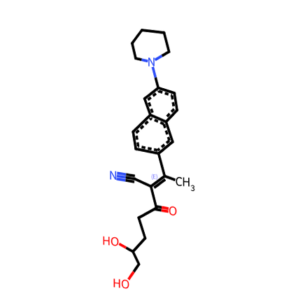 C/C(=C(/C#N)C(=O)CCC(O)CO)c1ccc2cc(N3CCCCC3)ccc2c1